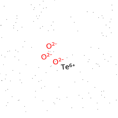 [O-2].[O-2].[O-2].[Te+6]